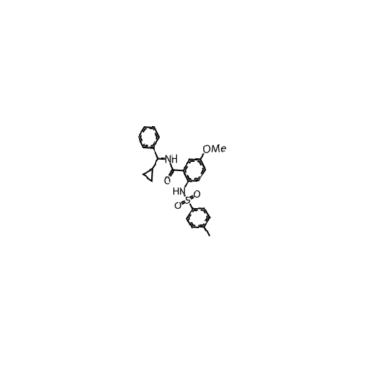 COc1ccc(NS(=O)(=O)c2ccc(C)cc2)c(C(=O)NC(c2ccccc2)C2CC2)c1